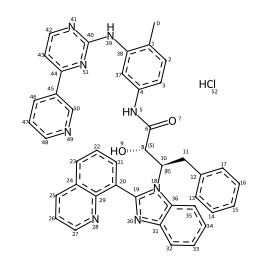 Cc1ccc(NC(=O)[C@@H](O)[C@@H](Cc2ccccc2)n2c(-c3cccc4cccnc34)nc3ccccc32)cc1Nc1nccc(-c2cccnc2)n1.Cl